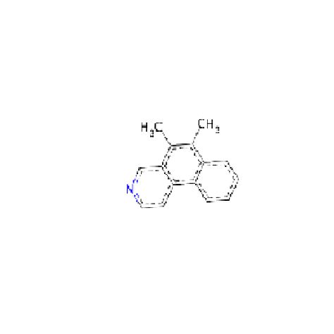 Cc1c(C)c2cnccc2c2ccccc12